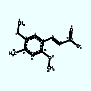 CCc1cc(C=C[N+](=O)[O-])c(OC)nc1C